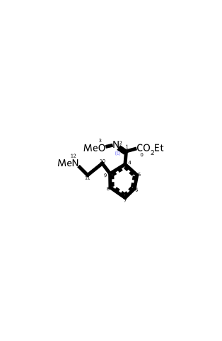 CCOC(=O)/C(=N/OC)c1ccccc1CCNC